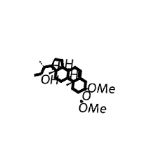 COCO[C@]1(OC)CC[C@@]2(C)C(=CC[C@H]3[C@@H]4CC[C@H]([C@@H](C)C(C)O)[C@@]4(C)CC[C@@H]32)C1